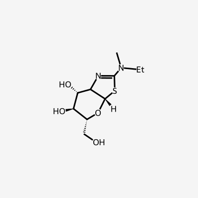 CCN(C)C1=NC2[C@@H](O)[C@H](O)[C@@H](CO)O[C@H]2S1